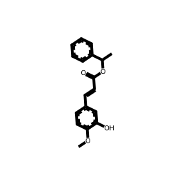 COc1ccc(C=CC(=O)OC(C)c2ccccc2)cc1O